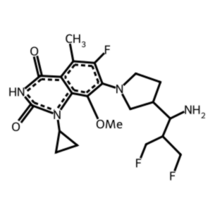 COc1c(N2CCC(C(N)C(CF)CF)C2)c(F)c(C)c2c(=O)[nH]c(=O)n(C3CC3)c12